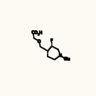 CC(C)(C)N1CCC(COCC(=O)O)C(F)C1